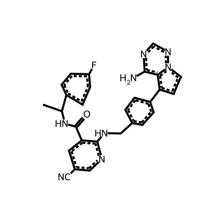 CC(NC(=O)c1cc(C#N)cnc1NCc1ccc(-c2ccn3ncnc(N)c23)cc1)c1ccc(F)cc1